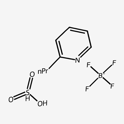 CCCc1ccccn1.F[B-](F)(F)F.O=[SH](=O)O